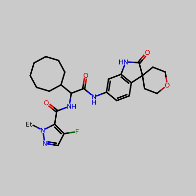 CCn1ncc(F)c1C(=O)NC(C(=O)Nc1ccc2c(c1)NC(=O)C21CCOCC1)C1CCCCCCC1